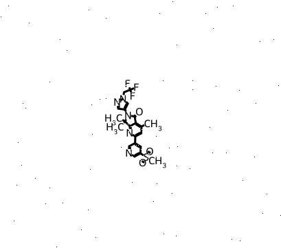 Cc1cc(-c2cncc(S(C)(=O)=O)c2)nc2c1C(=O)N(c1cnn(CC(F)(F)F)c1)C2(C)C